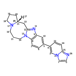 c1cn2cc(-c3ccc4c(c3)nc3n4CCCN4CCC[C@@H]4C3)ccc2n1